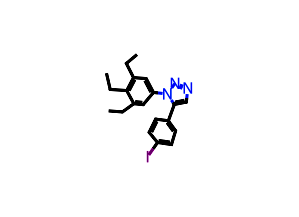 CCc1cc(-n2nncc2-c2ccc(I)cc2)cc(CC)c1CC